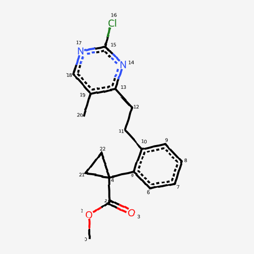 COC(=O)C1(c2ccccc2CCc2nc(Cl)ncc2C)CC1